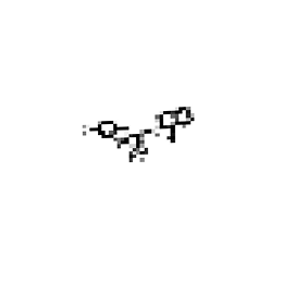 Cl.Cl.Clc1ccc2c(c1)N=C1SC=C(CSC3=NCc4ccccc4N3)N1C2